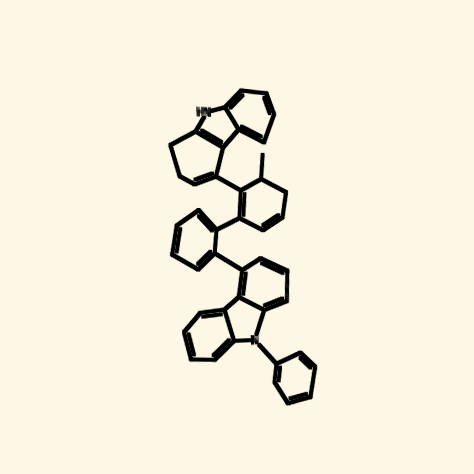 CC1CC=CC(c2ccccc2-c2cccc3c2c2ccccc2n3-c2ccccc2)=C1C1=CCCc2[nH]c3ccccc3c21